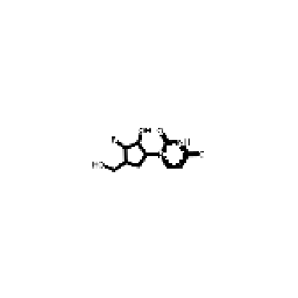 O=c1ccn(C2CC(CO)C(F)C2O)c(=O)[nH]1